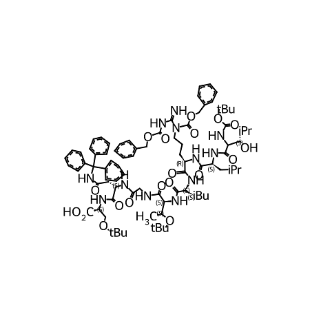 CC[C@H](C)[C@H](NC(=O)[C@@H](CCCN(C(=N)NC(=O)OCc1ccccc1)C(=O)OCc1ccccc1)NC(=O)[C@H](CC(C)C)NC(=O)C(NC(=O)OC(C)(C)C)[C@@H](O)C(C)C)C(=O)N[C@H](C(=O)NCC(=O)N[C@@H](CC(=O)NC(c1ccccc1)(c1ccccc1)c1ccccc1)C(=O)N[C@@H](COC(C)(C)C)C(=O)O)[C@H](C)OC(C)(C)C